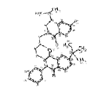 CN(C)CCN(CC1CCC2C(c3ccccc3)Nc3ccc(C(C)(C)C)cc3C2O1)C(=O)c1ccc(Br)cc1